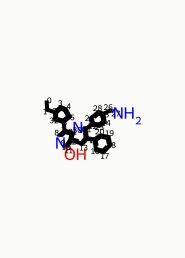 CCc1cccc(-c2cnc(O)c3cc(-c4ccccc4)c(-c4ccc(CN)cc4)nc23)c1